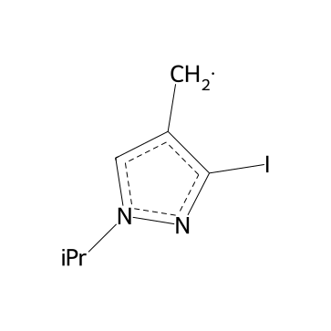 [CH2]c1cn(C(C)C)nc1I